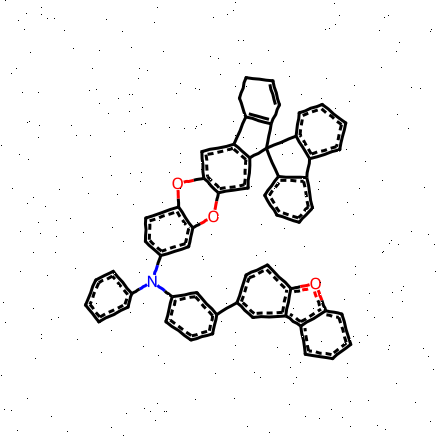 C1=CC2=C(CC1)c1cc3c(cc1C21c2ccccc2-c2ccccc21)Oc1cc(N(c2ccccc2)c2cccc(-c4ccc5oc6ccccc6c5c4)c2)ccc1O3